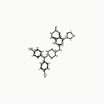 CC1C=c2c(N3CCSC3)nc(CN3CCN(C(c4ccc(Cl)cc4)c4ccc(Cl)cc4)CC3)nc2=CC1